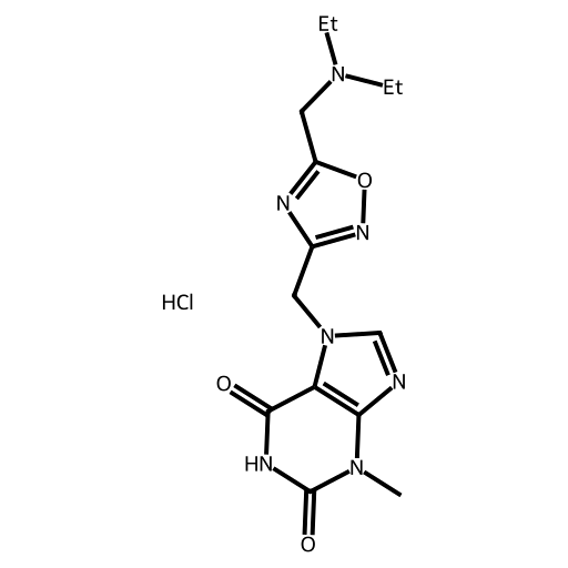 CCN(CC)Cc1nc(Cn2cnc3c2c(=O)[nH]c(=O)n3C)no1.Cl